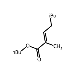 CCCCOC(=O)C(C)=CCC(C)CC